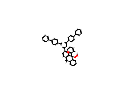 CC1(C)c2ccccc2C2(c3ccccc3Oc3ccccc32)c2cc(-c3cc(-c4ccc(-c5ccccc5)cc4)nc(-c4ccc(-c5ccccc5)cc4)n3)ccc21